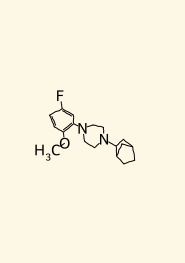 COc1ccc(F)cc1N1CCN(C2CC3CCC2C3)CC1